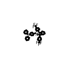 FC(F)(F)c1ccc(-c2c3ccccc3c(-c3ccc(C(F)(F)F)cc3)n2N=Cc2ccc(N(c3ccccc3)c3ccccc3)cc2)cc1